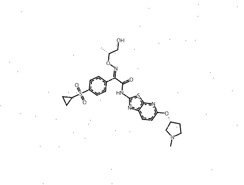 C[C@H](CO)O/N=C(/C(=O)Nc1nc2ccc(O[C@@H]3CCN(C)C3)nc2s1)c1ccc(S(=O)(=O)C2CC2)cc1